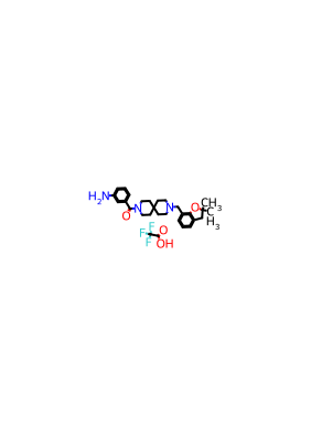 CC1(C)Cc2cccc(CN3CCC4(CC3)CCN(C(=O)c3cccc(N)c3)CC4)c2O1.O=C(O)C(F)(F)F